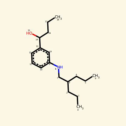 CCCC(CCC)CNc1cccc(C(O)CCC)c1